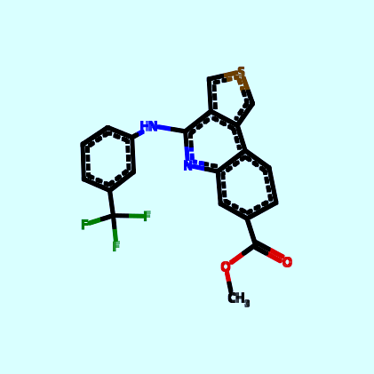 COC(=O)c1ccc2c(c1)nc(Nc1cccc(C(F)(F)F)c1)c1cscc12